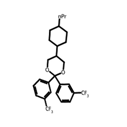 CCCC1CCC(C2COC(c3cccc(C(F)(F)F)c3)(c3cccc(C(F)(F)F)c3)OC2)CC1